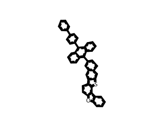 c1ccc(-c2ccc(-c3c4ccccc4c(-c4ccc5cc6sc7c(ccc8oc9ccccc9c87)c6cc5c4)c4ccccc34)cc2)cc1